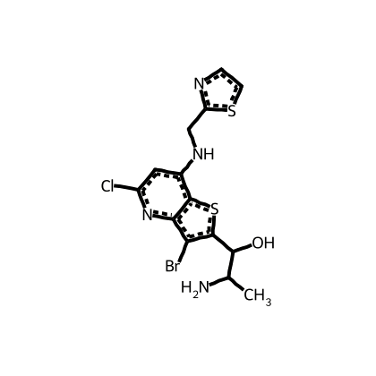 CC(N)C(O)c1sc2c(NCc3nccs3)cc(Cl)nc2c1Br